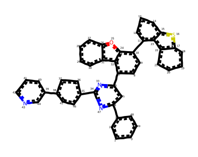 c1ccc(-c2cc(-c3ccc(-c4cccc5sc6ccccc6c45)c4oc5ccccc5c34)nc(-c3ccc(-c4cccnc4)cc3)n2)cc1